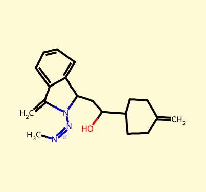 C=C1CCC(C(O)CC2c3ccccc3C(=C)N2/N=N\C)CC1